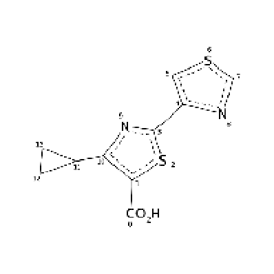 O=C(O)c1sc(-c2cscn2)nc1C1CC1